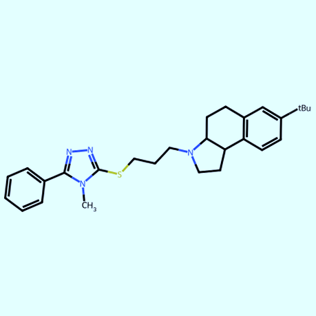 Cn1c(SCCCN2CCC3c4ccc(C(C)(C)C)cc4CCC32)nnc1-c1ccccc1